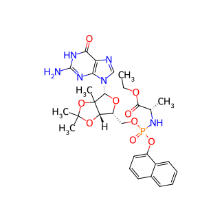 CCOC(=O)[C@H](C)NP(=O)(OC[C@H]1O[C@@H](n2cnc3c(=O)[nH]c(N)nc32)C2(C)OC(C)(C)O[C@@H]12)Oc1cccc2ccccc12